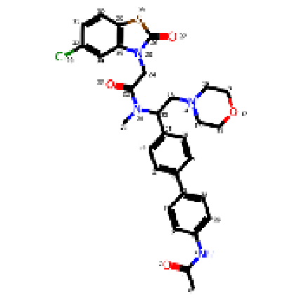 CC(=O)Nc1ccc(-c2ccc(C(CN3CCOCC3)N(C)C(=O)Cn3c(=O)sc4ccc(Cl)cc43)cc2)cc1